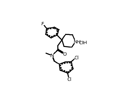 CN(Cc1cc(Cl)cc(Cl)c1)C(=O)CC1(c2ccc(F)cc2)CCNCC1.Cl